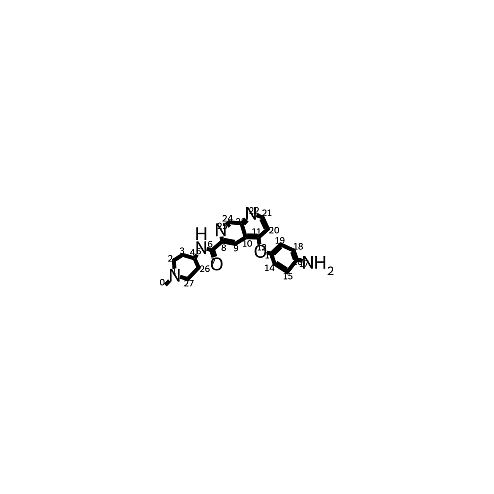 CN1CCC(NC(=O)c2cc3c(Oc4ccc(N)cc4)ccnc3cn2)CC1